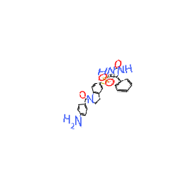 Nc1ccc(C(=O)N2CCc3cc(S(=O)(=O)[C@@H]4NC(=O)NC4c4ccccc4)ccc32)cc1